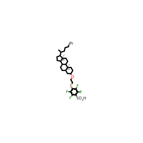 CC(C)CCCC(C)C1CCC2C3CCC4C[C@@H](OCCSc5c(F)c(F)c(S(=O)(=O)O)c(F)c5F)CC[C@]4(C)C3CC[C@]12C